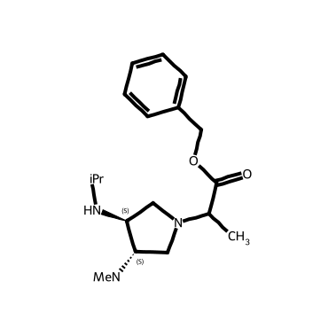 CN[C@H]1CN(C(C)C(=O)OCc2ccccc2)C[C@@H]1NC(C)C